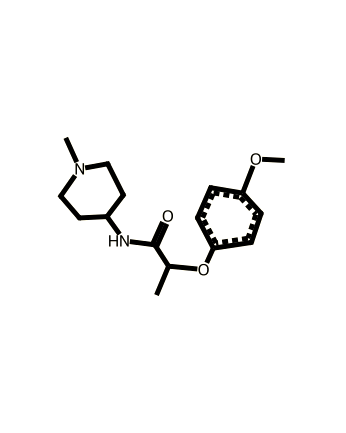 COc1ccc(OC(C)C(=O)NC2CCN(C)CC2)cc1